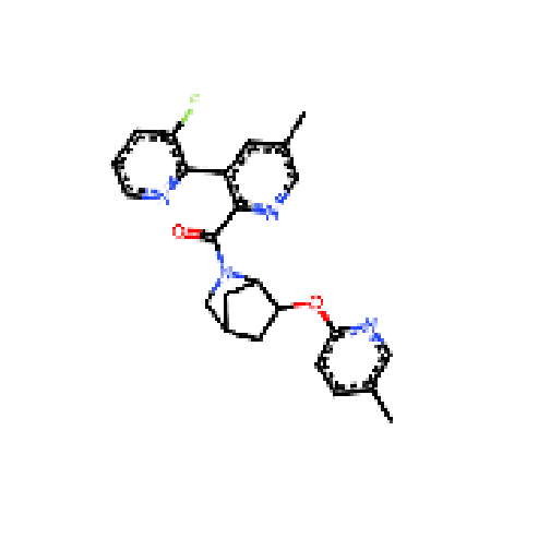 Cc1ccc(OC2CC3CC2N(C(=O)c2ncc(C)cc2-c2ncccc2F)C3)nc1